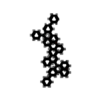 c1ccc(-c2ccc(N(c3ccccc3)c3ccc4c(c3)Oc3cccc5c3c-4cc3c4ccccc4c(N(c4ccccc4)c4ccc(-c6ccccc6)cc4-c4ccccc4)cc53)c(-c3ccccc3)c2)cc1